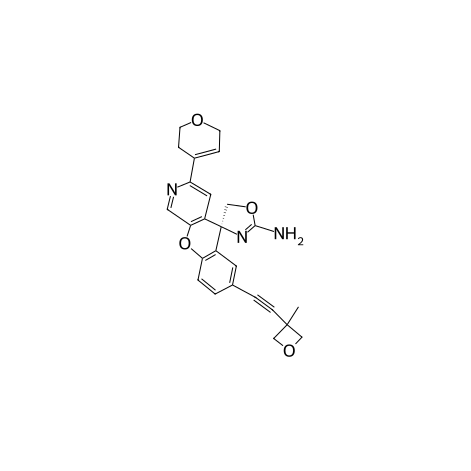 CC1(C#Cc2ccc3c(c2)[C@@]2(COC(N)=N2)c2cc(C4=CCOCC4)ncc2O3)COC1